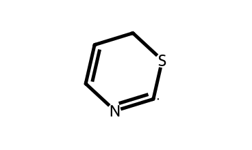 [C]1=NC=CCS1